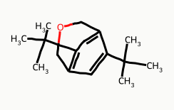 CC(C)(C)c1cc2c(C(C)(C)C)cc1COC2